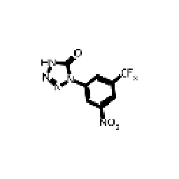 O=c1[nH]nnn1-c1cc([N+](=O)[O-])cc(C(F)(F)F)c1